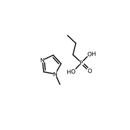 CCCP(=O)(O)O.Cn1ccnc1